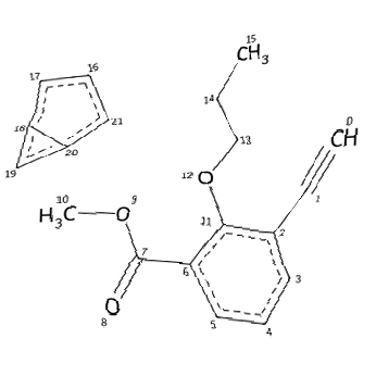 C#Cc1cccc(C(=O)OC)c1OCCC.c1cc2cc-2c1